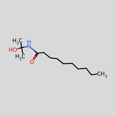 CCCCCCCCCC(=O)NC(C)(C)O